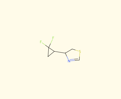 FC1(F)CC1[C]1CSC=N1